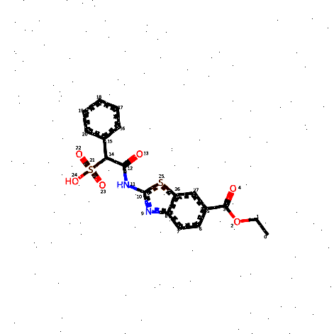 CCOC(=O)c1ccc2nc(NC(=O)C(c3ccccc3)S(=O)(=O)O)sc2c1